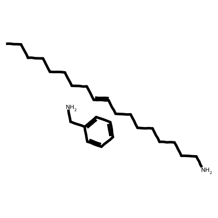 CCCCCCCCC=CCCCCCCCCN.NCc1ccccc1